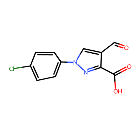 O=Cc1cn(-c2ccc(Cl)cc2)nc1C(=O)O